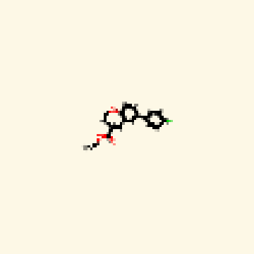 CCOC(=O)C1=Cc2cc(-c3ccc(Cl)cc3)ccc2OCC1